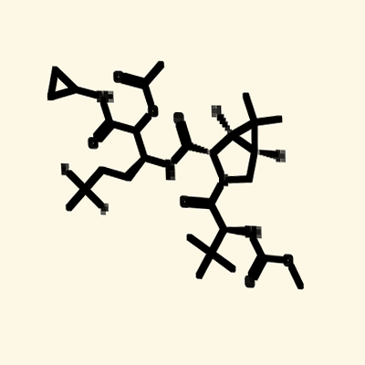 COC(=O)N[C@H](C(=O)N1C[C@H]2[C@@H]([C@H]1C(=O)N[C@@H](CCC(C)(F)F)C(OC(C)=O)C(=O)NC1CC1)C2(C)C)C(C)(C)C